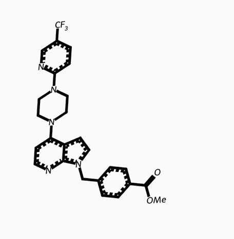 COC(=O)c1ccc(Cn2ccc3c(N4CCN(c5ccc(C(F)(F)F)cn5)CC4)ccnc32)cc1